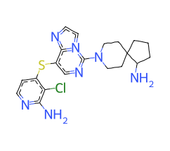 Nc1nccc(Sc2cnc(N3CCC4(CCCC4N)CC3)n3ccnc23)c1Cl